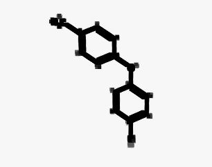 [CH2]c1ccc(Oc2ccc(Cl)cc2)cc1